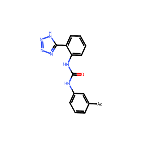 CC(=O)c1cccc(NC(=O)Nc2ccccc2-c2nnn[nH]2)c1